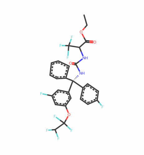 CCOC(=O)C(NC(=O)N[C@](c1ccccc1)(c1ccc(F)cc1)c1cc(F)cc(OC(F)(F)C(F)F)c1)C(F)(F)F